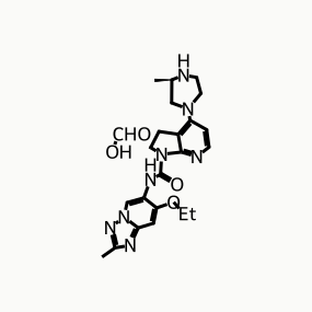 CCOc1cc2nc(C)nn2cc1NC(=O)N1CCc2c(N3CCN[C@H](C)C3)ccnc21.O=CO